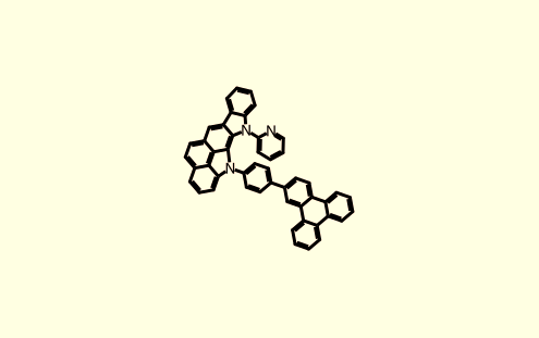 c1ccc(-n2c3ccccc3c3cc4ccc5cccc6c5c4c(c32)n6-c2ccc(-c3ccc4c5ccccc5c5ccccc5c4c3)cc2)nc1